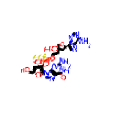 Nc1nc2c(ncn2[C@@H]2OC(CO)C[C@H]2OP(=O)(S)OCC[C@]2(O)CO[C@@H](c3cnc4c(N)ncnn34)C2)c(=O)[nH]1